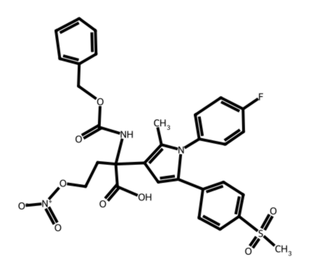 Cc1c(C(CCO[N+](=O)[O-])(NC(=O)OCc2ccccc2)C(=O)O)cc(-c2ccc(S(C)(=O)=O)cc2)n1-c1ccc(F)cc1